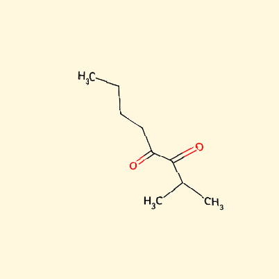 CCCCC(=O)C(=O)C(C)C